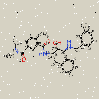 CCCN(CCC)C(=O)c1ccc(C)c(C(=O)N[C@@H](Cc2ccccc2)[C@H](O)CNCc2cccc(C(F)(F)F)c2)c1